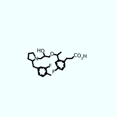 Cc1ccc(CC2CCCN2CC(O)COC(C)c2cc(F)ccc2CCC(=O)O)cc1F